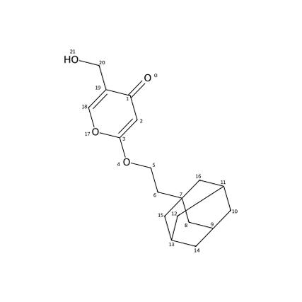 O=c1cc(OCCC23CC4CC(CC(C4)C2)C3)occ1CO